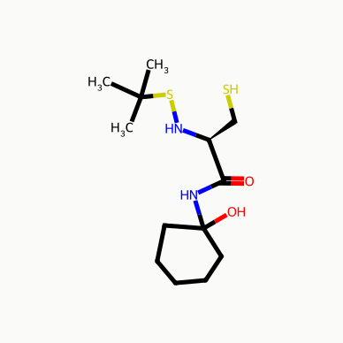 CC(C)(C)SN[C@@H](CS)C(=O)NC1(O)CCCCC1